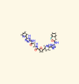 O=C(Cc1ccccc1F)Nc1nnc(C2=NC=C(c3ccc(C(=O)NCCC(=O)Nc4nnc(-c5ccccn5)[nH]4)o3)CC2)[nH]1